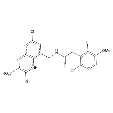 COc1ccc(Cl)c(CC(=O)NCc2cc(Cl)cc3cc(C(=O)O)c(=O)[nH]c23)c1F